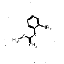 C=C(SC)Sc1ccccc1N